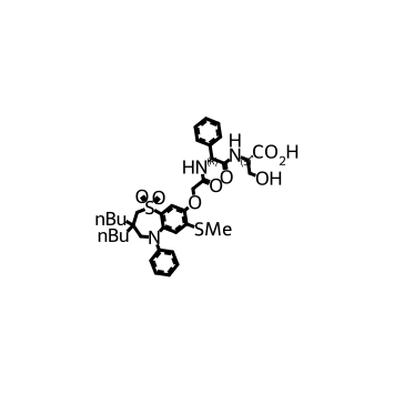 CCCCC1(CCCC)CN(c2ccccc2)c2cc(SC)c(OCC(=O)N[C@@H](C(=O)N[C@@H](CO)C(=O)O)c3ccccc3)cc2S(=O)(=O)C1